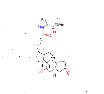 CCC(C)[C@H](NC(=O)CC[C@@H](C)[C@H]1CC[C@H]2[C@@H]3[C@H](O)C[C@@H]4CC(=O)CC[C@]4(C)[C@H]3CC[C@]12C)C(=O)OC